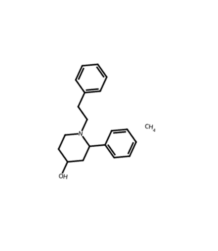 C.OC1CCN(CCc2ccccc2)C(c2ccccc2)C1